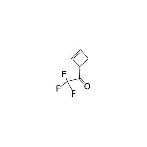 O=C(C1C=CC1)C(F)(F)F